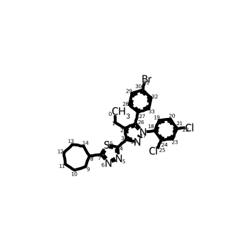 CCc1c(-c2nnc(C3CCCCCC3)s2)nn(-c2ccc(Cl)cc2Cl)c1-c1ccc(Br)cc1